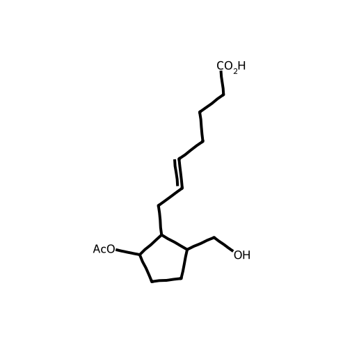 CC(=O)OC1CCC(CO)C1CC=CCCCC(=O)O